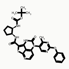 Cc1nc(Oc2ccccc2)ncc1N1C(=O)Nc2c(C(=O)N[C@H]3CCC[C@H]3NC(=O)OC(C)(C)C)sc3nccc1c23